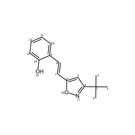 CC(C)(C)c1cc(C=Cc2ccccc2O)on1